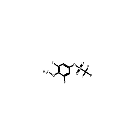 COc1c(F)cc(OS(=O)(=O)C(F)(F)F)cc1F